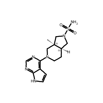 C[C@@]12CN(c3ncnc4[nH]ccc34)CC[C@@H]1CN(S(N)(=O)=O)C2